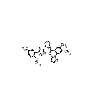 COc1ccc(C)cc1-c1nc([C@@H]2CCCN2C(=O)c2cc(C)c(C)cc2-n2nccn2)no1